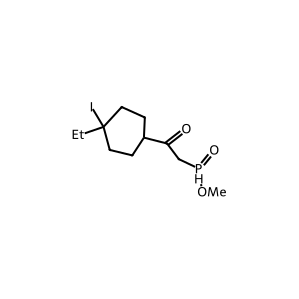 CCC1(I)CCC(C(=O)C[PH](=O)OC)CC1